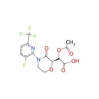 CC(=O)OC(C(=O)O)[C@H]1OCCN(c2nc(C(F)(F)F)ccc2F)C1=O